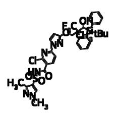 Cc1nn(C)cc1S(=O)(=O)NC(=O)c1ccc(-n2ccc(OCC(C)(C(O)[Si](c3ccccc3)(c3ccccc3)C(C)(C)C)C(F)(F)F)n2)nc1Cl